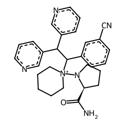 N#Cc1cccc(C(C(c2cccnc2)c2cccnc2)[N+]2(N3CCC[C@H]3C(N)=O)CCCCC2)c1